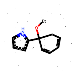 CCOC1(c2ccc[nH]2)C=CC=CC1